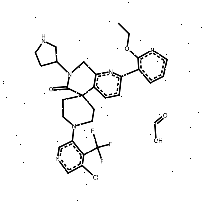 CCOc1ncccc1-c1ccc2c(n1)CN(C1CCNC1)C(=O)C21CCN(c2cncc(Cl)c2C(F)(F)F)CC1.O=CO